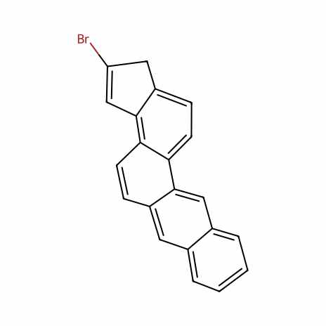 BrC1=Cc2c(ccc3c2ccc2cc4ccccc4cc23)C1